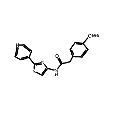 COc1ccc(CC(=O)Nc2csc(-c3ccncc3)n2)cc1